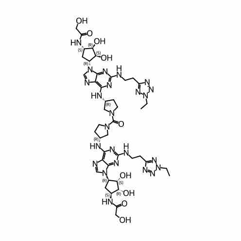 CCn1nnc(CCNc2nc(N[C@@H]3CCN(C(=O)N4CC[C@@H](Nc5nc(NCCc6nnn(CC)n6)nc6c5ncn6[C@@H]5C[C@H](NC(=O)CO)[C@@H](O)[C@H]5O)C4)C3)c3ncn([C@@H]4C[C@H](NC(=O)CO)[C@@H](O)[C@H]4O)c3n2)n1